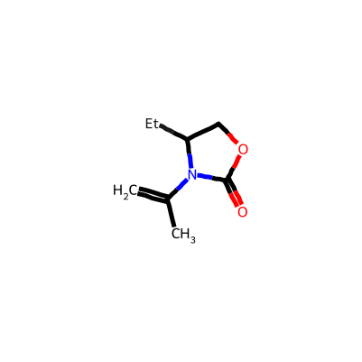 C=C(C)N1C(=O)OCC1CC